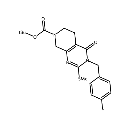 CSc1nc2c(c(=O)n1Cc1ccc(F)cc1)CCN(C(=O)OC(C)(C)C)C2